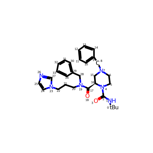 CC(C)(C)NC(=O)N1CCN(Cc2ccccc2)C[C@@H]1C(=O)N(CCCn1ccnc1)Cc1ccccc1